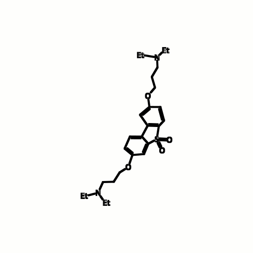 CCN(CC)CCCOc1ccc2c(c1)-c1ccc(OCCCN(CC)CC)cc1S2(=O)=O